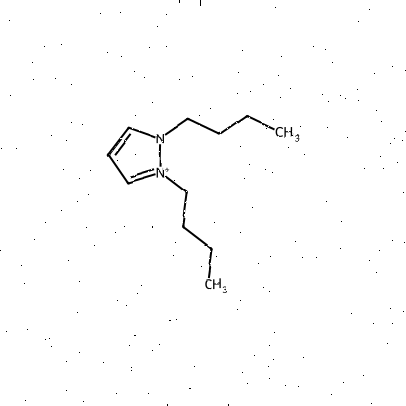 CCCCn1ccc[n+]1CCCC